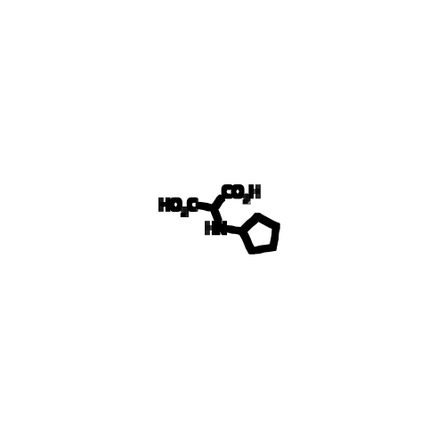 O=C(O)C(NC1CCCC1)C(=O)O